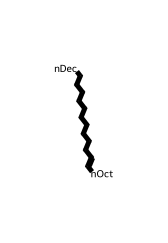 CCCCCCCC/C=C/CCCCCCCCCCCCCCCCCCCC